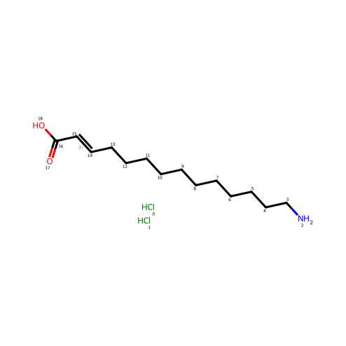 Cl.Cl.NCCCCCCCCCCC/C=C/C(=O)O